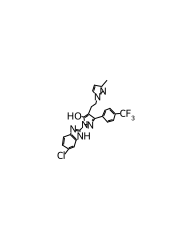 Cc1ccn(CCc2c(-c3ccc(C(F)(F)F)cc3)nn(-c3nc4ccc(Cl)cc4[nH]3)c2O)n1